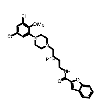 CCc1cc(Cl)c(OC)c(N2CCN(C[C@@H](F)CCNC(=O)c3cc4ccccc4o3)CC2)c1